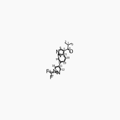 CC(C)C(=O)c1cnn2cc(-c3cnn(C(F)F)c3)ccc12